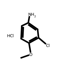 COc1ccc(N)cc1Cl.Cl